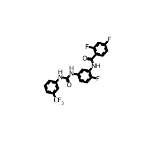 O=C(Nc1cccc(C(F)(F)F)c1)Nc1ccc(F)c(NC(=O)c2ccc(F)cc2F)c1